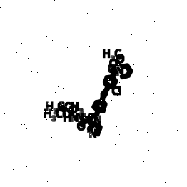 COC(=O)[C@@H]1CCCCN1C(=O)c1ccc(C#Cc2ccc(-c3cc(C(=O)NNC(=O)OC(C)(C)C)c4cnccc4n3)cc2)c(Cl)c1